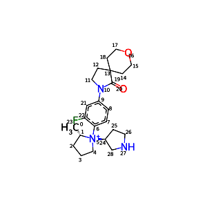 C[C@H]1CCC[N+]1(c1ccc(N2CCC3(CCOCC3)C2=O)cc1F)[C@H]1CCNC1